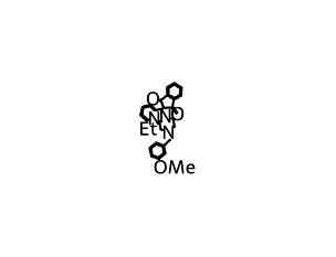 CCc1cccc(C2(N3CCN(Cc4cccc(OC)c4)CC3)C(=O)c3ccccc3C2=O)n1